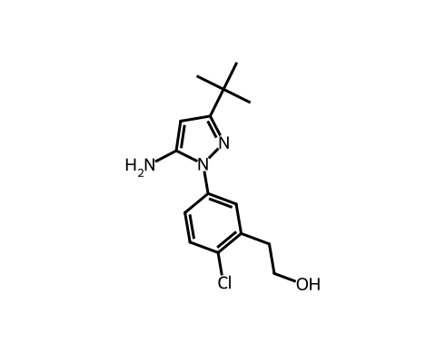 CC(C)(C)c1cc(N)n(-c2ccc(Cl)c(CCO)c2)n1